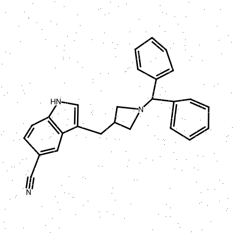 N#Cc1ccc2[nH]cc(CC3CN(C(c4ccccc4)c4ccccc4)C3)c2c1